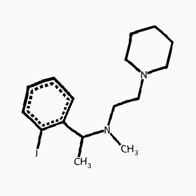 CC(c1ccccc1I)N(C)CCN1CCCCC1